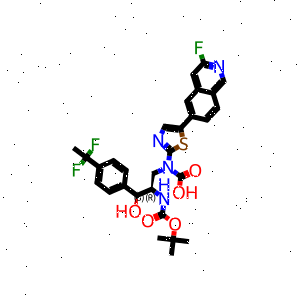 CC(C)(C)OC(=O)N[C@H](CN(C(=O)O)c1ncc(-c2ccc3cnc(F)cc3c2)s1)[C@@H](O)c1ccc(C(C)(F)F)cc1